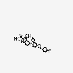 Cn1c(C2(C#N)CC2)nc2ccc(-n3ccc(OCc4ccc(F)cc4)cc3=O)cc21